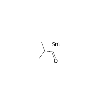 CC(C)C=O.[Sm]